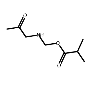 CC(=O)CNCOC(=O)C(C)C